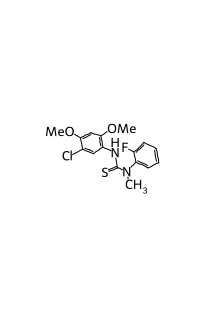 COc1cc(OC)c(NC(=S)N(C)c2ccccc2F)cc1Cl